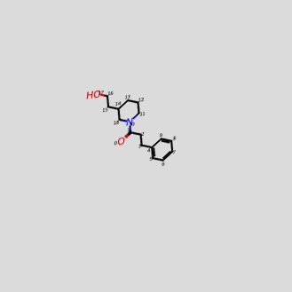 O=C(CCc1ccccc1)N1CCCC(CCO)C1